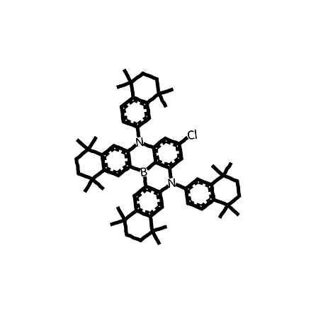 CC1(C)CCC(C)(C)c2cc(N3c4cc5c(cc4B4c6cc7c(cc6N(c6ccc8c(c6)C(C)(C)CCC8(C)C)c6cc(Cl)cc3c64)C(C)(C)CCC7(C)C)C(C)(C)CCC5(C)C)ccc21